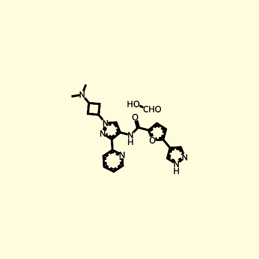 CN(C)C1CC(n2cc(NC(=O)c3ccc(-c4cn[nH]c4)o3)c(-c3ccccn3)n2)C1.O=CO